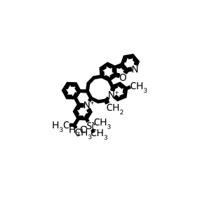 C=C1CC2C(CCc3ccc4c(oc5ncccc54)c3-c3cc(C)cc[n+]31)c1ccccc1-c1cc(C(C)C)c([Si](C)(C)C)c[n+]12